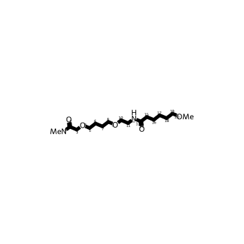 CNC(=O)COCCCCOCCNC(=O)CCCCCOC